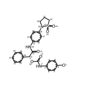 O=C(Nc1ccc(Cl)cc1)O[C@@H](C(=O)Nc1ccc(N2CCCS2(=O)=O)cc1)c1ccccc1